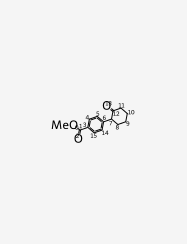 COC(=O)c1ccc(C2CCCCC2=O)cc1